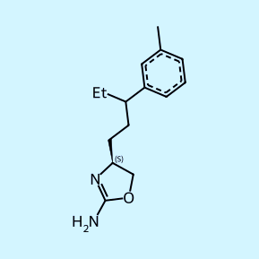 CCC(CC[C@H]1COC(N)=N1)c1cccc(C)c1